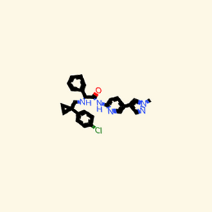 Cn1cc(-c2ccc(NC(=O)[C@@H](NCC3(c4ccc(Cl)cc4)CC3)c3ccccc3)nc2)cn1